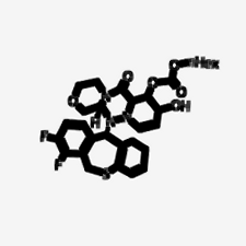 CCCCCCOC(=O)OC1C(O)C=CN2C1C(=O)N1CCOC[C@H]1N2[C@@H]1C2=C(C=CCC2)SCc2c1ccc(F)c2F